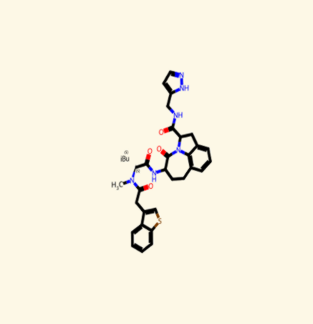 CC[C@H](C)[C@@H](C(=O)NC1CCc2cccc3c2N(C1=O)C(C(=O)NCc1ccn[nH]1)C3)N(C)C(=O)Cc1csc2ccccc12